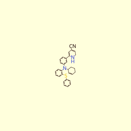 N#CC1=CCNC(c2cccc(N(c3ccccc3Sc3ccccc3)C3C=CCCC3)c2)=C1